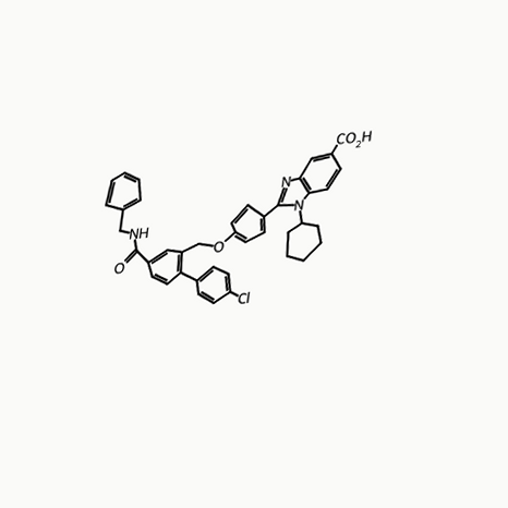 O=C(O)c1ccc2c(c1)nc(-c1ccc(OCc3cc(C(=O)NCc4ccccc4)ccc3-c3ccc(Cl)cc3)cc1)n2C1CCCCC1